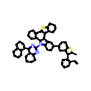 C=Cc1ccccc1-c1c(C)sc2ccc(-c3ccc4c(c3)c3c5c6ccccc6sc5c5ccccc5c3n4-c3nc(-c4cccc5ccccc45)c4ccccc4n3)cc12